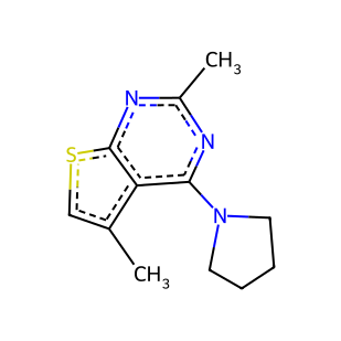 Cc1nc(N2CCCC2)c2c(C)csc2n1